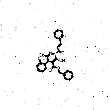 CCC1=NN(C(=O)/C=C/c2ccccc2)C(C)=C(C(=O)OCc2ccccc2)C1c1ccccc1C(F)(F)F